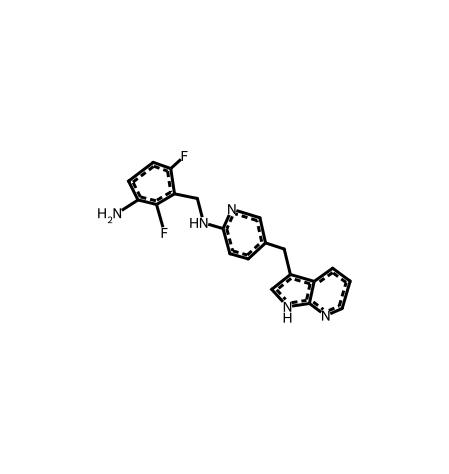 Nc1ccc(F)c(CNc2ccc(Cc3c[nH]c4ncccc34)cn2)c1F